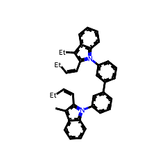 CC/C=C\c1c(C)c2ccccc2n1-c1cccc(-c2cccc(-n3c(/C=C\CC)c(CC)c4ccccc43)c2)c1